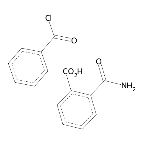 NC(=O)c1ccccc1C(=O)O.O=C(Cl)c1ccccc1